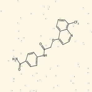 NC(=O)c1ccc(NC(=O)COc2ccnc3c(C(F)(F)F)cccc23)cc1